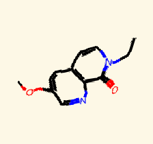 CCn1ccc2cc(OC)cnc2c1=O